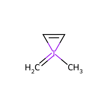 C=I1(C)C=C1